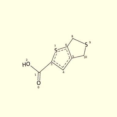 O=C(O)c1cc2c(s1)CSC2